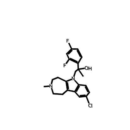 CN1CCc2c(n(CC(C)(O)c3ccc(F)cc3F)c3ccc(Cl)cc23)CC1